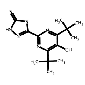 CC(C)(C)c1nc(-c2n[nH]c(=S)s2)nc(C(C)(C)C)c1O